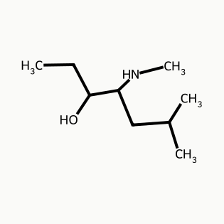 CCC(O)C(CC(C)C)NC